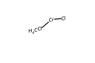 C.[Cl][Cr][Cl]